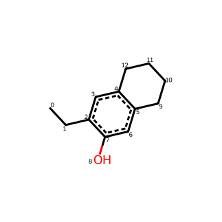 CCc1cc2c(cc1O)CCCC2